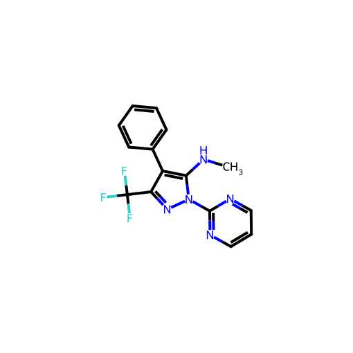 CNc1c(-c2ccccc2)c(C(F)(F)F)nn1-c1ncccn1